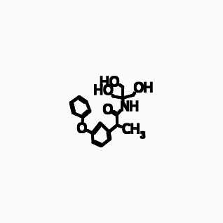 CC(C(=O)NC(CO)(CO)CO)c1cccc(Oc2ccccc2)c1